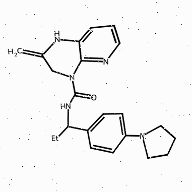 C=C1CN(C(=O)NC(CC)c2ccc(N3CCCC3)cc2)c2ncccc2N1